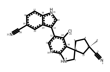 C[C@@]1(C#N)CC[C@]2(CNc3ncc(-c4c[nH]c5ccc(C#N)cc45)c(Cl)c32)C1